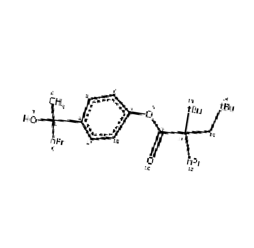 CCCC(C)(O)c1ccc(OC(=O)C(CCC)(CC(C)(C)C)C(C)(C)C)cc1